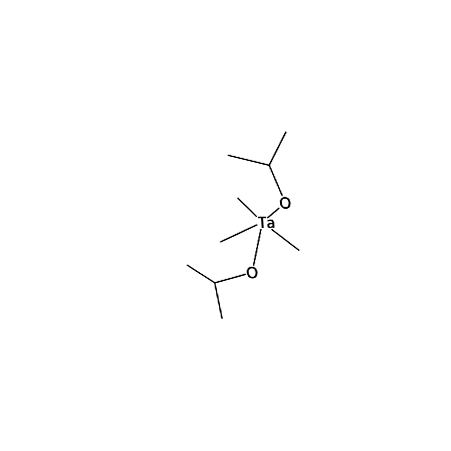 CC(C)[O][Ta]([CH3])([CH3])([CH3])[O]C(C)C